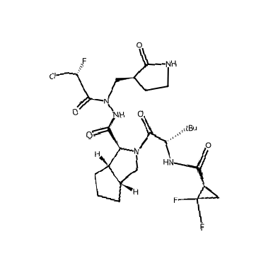 CC(C)(C)[C@H](NC(=O)[C@H]1CC1(F)F)C(=O)N1C[C@@H]2CCC[C@@H]2[C@H]1C(=O)NN(C[C@@H]1CCNC1=O)C(=O)[C@@H](F)Cl